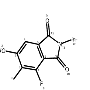 Cc1c(O)cc2c(c1F)C(=O)N(C(C)C)C2=O